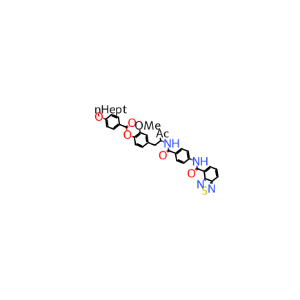 CCCCCCCOc1ccc(C(=O)Oc2ccc(CC(NC(=O)c3ccc(NC(=O)c4cccc5nsnc45)cc3)C(C)=O)cc2OC)cc1